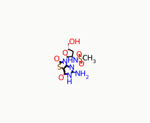 CS(=O)(=O)N[C@@H]1C[C@@H](CO)O[C@H]1n1c(=O)sc2c(=O)[nH]c(N)nc21